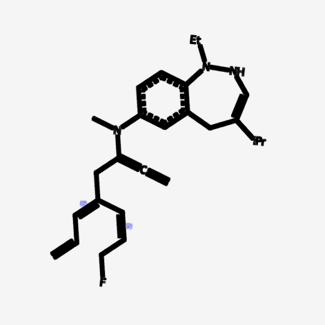 C=C=C(CC(/C=C\CF)=C/C=C)N(C)c1ccc2c(c1)CC(C(C)C)=CNN2CC